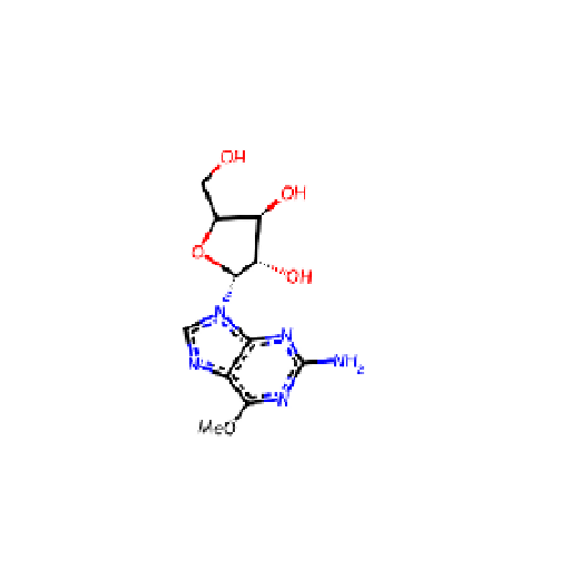 COc1nc(N)nc2c1ncn2[C@@H]1OC(CO)[C@@H](O)[C@@H]1O